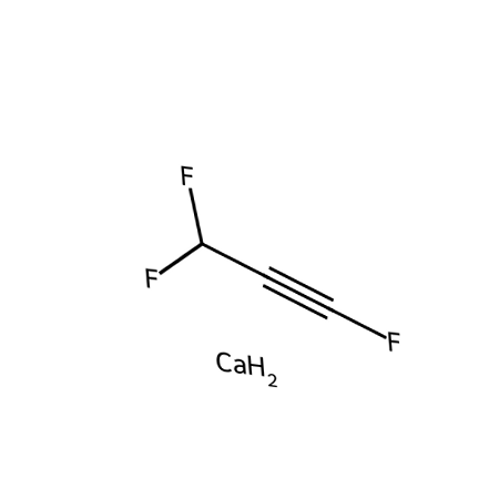 FC#CC(F)F.[CaH2]